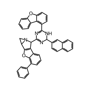 c1ccc(-c2cccc3c4c(oc23)C2CN2C4C2=NC(c3ccc4ccccc4c3)NC(c3cccc4oc5ccccc5c34)=N2)cc1